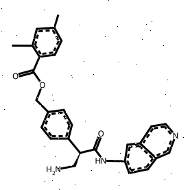 Cc1ccc(C(=O)OCc2ccc([C@H](CN)C(=O)Nc3ccc4cnccc4c3)cc2)c(C)c1